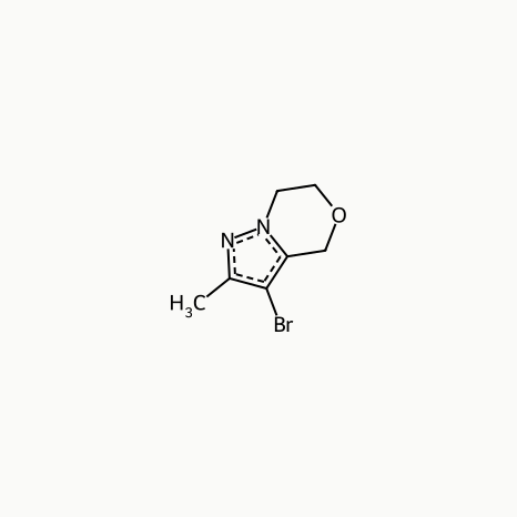 Cc1nn2c(c1Br)COCC2